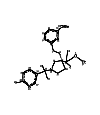 CCOC(C)(C)[C@@]1(CCc2nccc(OC)n2)CCN(C(C)(C)c2ccc(C)nc2)C1